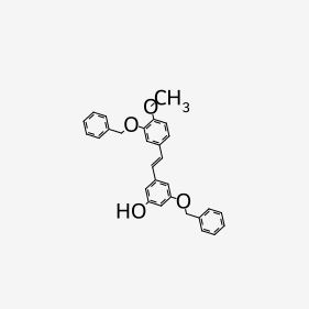 COc1ccc(/C=C/c2cc(O)cc(OCc3ccccc3)c2)cc1OCc1ccccc1